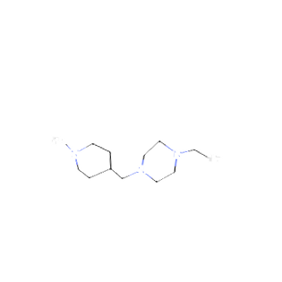 CC(C)CN1CCN(CC2CCN(C(C)C)CC2)CC1